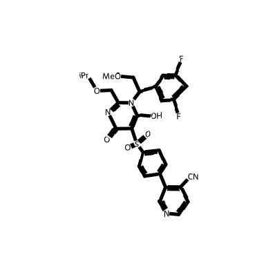 COCC(c1cc(F)cc(F)c1)n1c(COC(C)C)nc(=O)c(S(=O)(=O)c2ccc(-c3cnccc3C#N)cc2)c1O